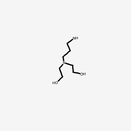 [NH]CCCN(CCO)CCO